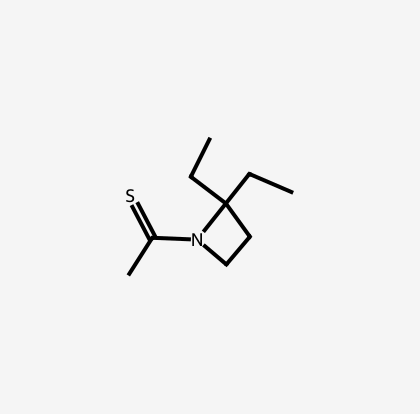 CCC1(CC)CCN1C(C)=S